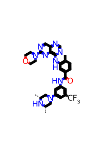 Cc1ccc(C(=O)Nc2cc(N3C[C@@H](C)N[C@@H](C)C3)cc(C(F)(F)F)c2)cc1Nc1ncnc2cnc(N3CCOCC3)nc12